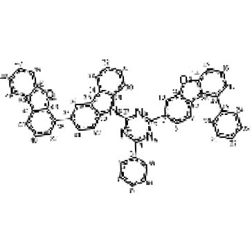 c1ccc(-c2nc(-c3ccc4c(c3)oc3cccc(-c5ccccc5)c34)nc(-n3c4ccccc4c4cc(-c5cccc6c5oc5ccccc56)ccc43)n2)cc1